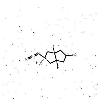 C[C@@]1(N=[N+]=[N-])C[C@H]2CC(O)C[C@H]2C1